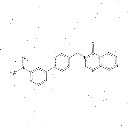 CN(C)c1cc(-c2ccc(Cn3cnc4cnccc4c3=O)cc2)ccn1